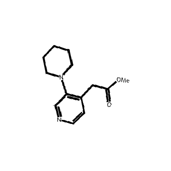 COC(=O)Cc1ccn[c]c1N1CCCCC1